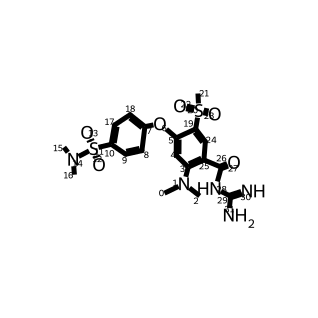 CN(C)c1cc(Oc2ccc(S(=O)(=O)N(C)C)cc2)c(S(C)(=O)=O)cc1C(=O)NC(=N)N